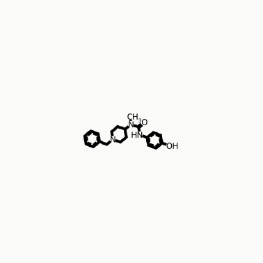 CN(C(=O)Nc1ccc(O)cc1)C1CCN(Cc2ccccc2)CC1